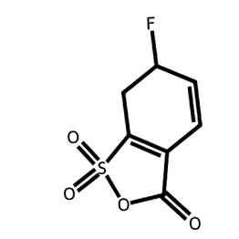 O=C1OS(=O)(=O)C2=C1C=CC(F)C2